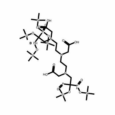 C[Si](C)(C)O[PH](=O)C(CN(CCN(CCN(CC(=O)O)CC(O[Si](C)(C)C)([PH](=O)O[Si](C)(C)C)P(=O)(O[Si](C)(C)C)O[Si](C)(C)C)CC(=O)O)CC(=O)O)(O[Si](C)(C)C)P=O